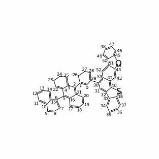 C1=C(c2c3c(c(-c4cccc5ccccc45)c4ccccc24)=CCCC=3)CCC=C1c1cc2c3ccccc3sc2c2cc3oc4ccccc4c3cc12